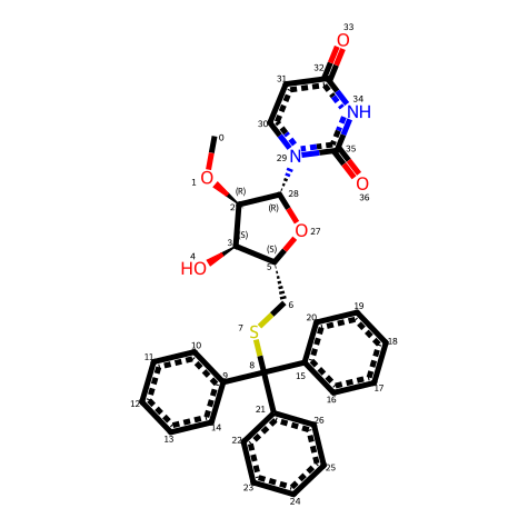 CO[C@@H]1[C@H](O)[C@@H](CSC(c2ccccc2)(c2ccccc2)c2ccccc2)O[C@H]1n1ccc(=O)[nH]c1=O